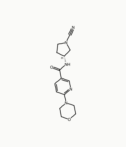 N#CN1CC[C@@H](NC(=O)c2ccc(N3CCOCC3)nc2)C1